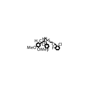 COc1ccc(C(C)(C)c2nnc(SCCOCc3c(F)cccc3Cl)n2-c2ccc(F)cc2)cc1OC